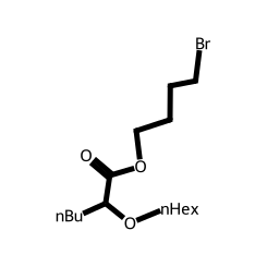 CCCCCCOC(CCCC)C(=O)OCCCCBr